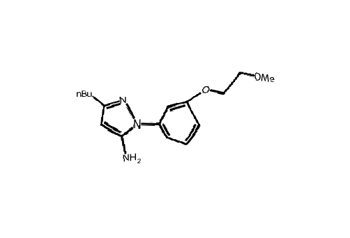 CCCCc1cc(N)n(-c2cccc(OCCOC)c2)n1